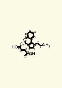 NCCn1ccc2c1-c1ccccc1OC2.O=C(O)C=CC(=O)O